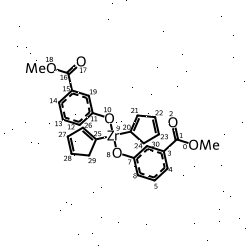 COC(=O)c1cccc([O][Zr]([O]c2cccc(C(=O)OC)c2)([C]2=CC=CC2)[C]2=CC=CC2)c1